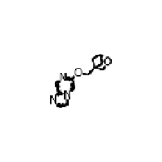 c1cn2cc(OCC34COC(C3)C4)ncc2n1